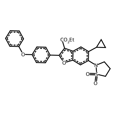 CCOC(=O)c1c(-c2ccc(Oc3ccccc3)cc2)oc2cc(N3CCCS3(=O)=O)c(C3CC3)cc12